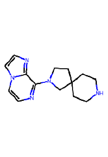 c1cn2ccnc2c(N2CCC3(CCNCC3)C2)n1